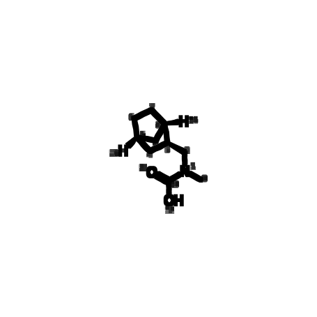 CN(C[C@H]1C[C@@H]2CC[C@H]1C2)C(=O)O